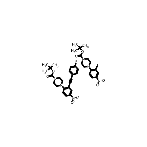 CC(C)(C)OC(=O)N1CCN(c2ccc([N+](=O)[O-])cc2C#Cc2ccc(F)cc2)CC1.CC(C)(C)OC(=O)N1CCN(c2ccc([N+](=O)[O-])cc2I)CC1